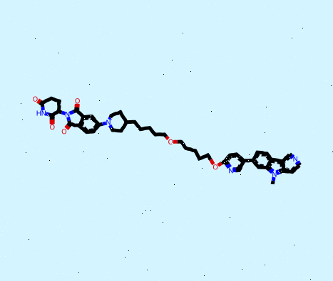 Cn1c2ccncc2c2ccc(-c3ccc(OCCCCCOCCCCCC4CCN(c5ccc6c(c5)C(=O)N(C5CCC(=O)NC5=O)C6=O)CC4)nc3)cc21